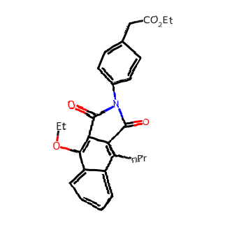 CCCc1c2c(c(OCC)c3ccccc13)C(=O)N(c1ccc(CC(=O)OCC)cc1)C2=O